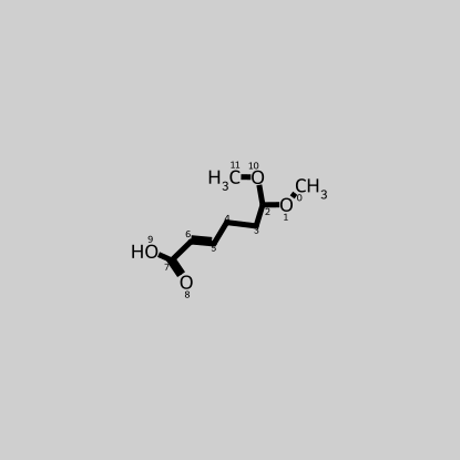 COC(CCC=CC(=O)O)OC